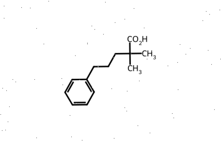 CC(C)(CCCc1ccccc1)C(=O)O